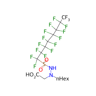 CCCCCCN(CC(=O)O)NS(=O)(=O)C(F)(F)C(F)(F)C(F)(F)C(F)(F)C(F)(F)C(F)(F)C(F)(F)C(F)(F)F